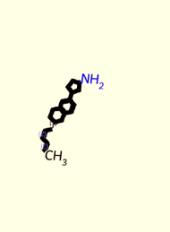 C/C=C/C=C\C[C@@H]1CCc2cc(C3CCC(N)C3)ccc2C1